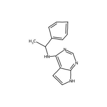 CC(Nc1ncnc2[nH]ccc12)c1ccccc1